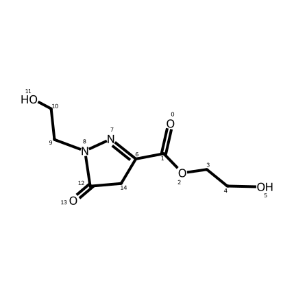 O=C(OCCO)C1=NN(CCO)C(=O)C1